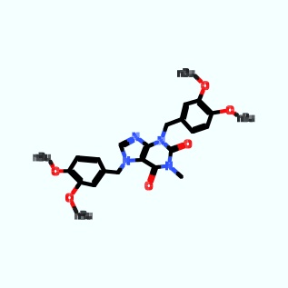 CCCCOc1ccc(Cn2cnc3c2c(=O)n(C)c(=O)n3Cc2ccc(OCCCC)c(OCCCC)c2)cc1OCCCC